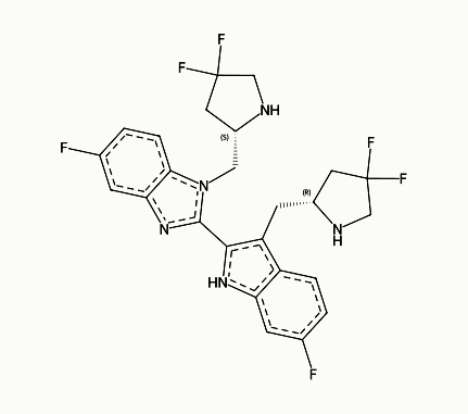 Fc1ccc2c(c1)nc(-c1[nH]c3cc(F)ccc3c1C[C@@H]1CC(F)(F)CN1)n2C[C@@H]1CC(F)(F)CN1